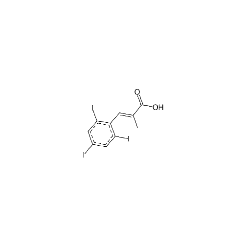 CC(=Cc1c(I)cc(I)cc1I)C(=O)O